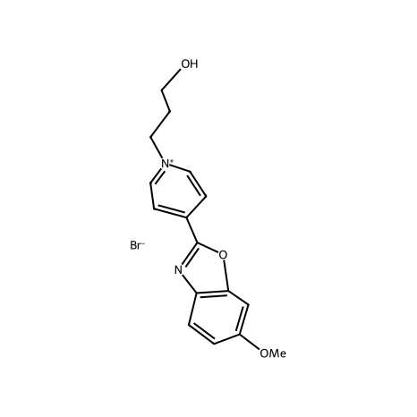 COc1ccc2nc(-c3cc[n+](CCCO)cc3)oc2c1.[Br-]